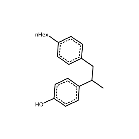 CCCCCCc1ccc(CC(C)c2ccc(O)cc2)cc1